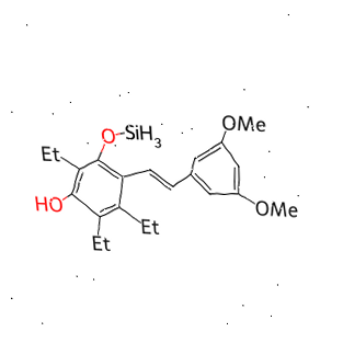 CCc1c(O)c(CC)c(O[SiH3])c(C=Cc2cc(OC)cc(OC)c2)c1CC